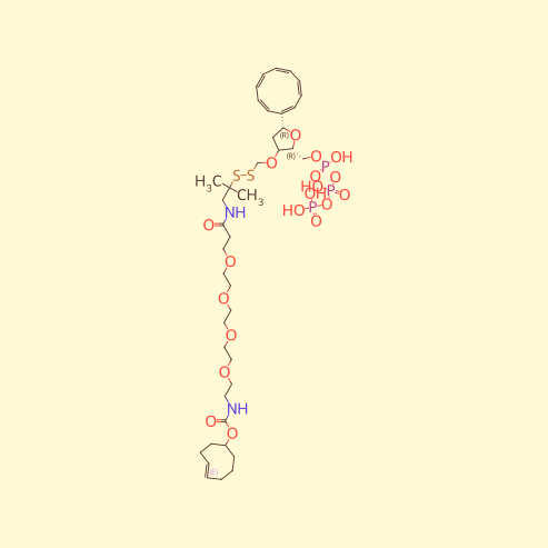 CC(C)(CNC(=O)CCOCCOCCOCCOCCNC(=O)OC1CC/C=C/CCC1)SSCOC1C[C@H](c2ccccccccc2)O[C@@H]1COP(=O)(O)OP(=O)(O)OP(=O)(O)O